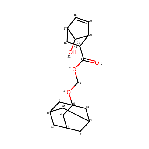 O=C(OCOC12CC3CC(CC(C3)C1)C2)C1CC2C=CC1C2O